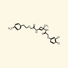 Cc1ccc(CCOCC(=O)NC2=CC(C)(NC(=O)COc3ccc(Cl)c(Cl)c3)C2)cc1